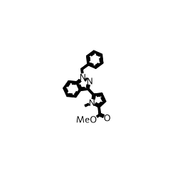 COC(=O)c1ccc(-c2nn(Cc3ccccc3)c3ccccc23)n1C